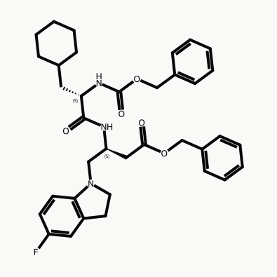 O=C(C[C@@H](CN1CCc2cc(F)ccc21)NC(=O)[C@H](CC1CCCCC1)NC(=O)OCc1ccccc1)OCc1ccccc1